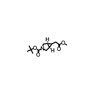 COC(=O)CC1[C@H]2CN(C(=O)OC(C)(C)C)C[C@@H]12